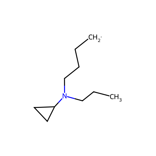 [CH2]CCCN(CCC)C1CC1